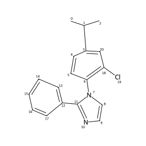 CC(C)c1ccc(-n2ccnc2-c2ccccc2)c(Cl)c1